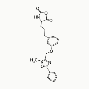 Cc1oc(-c2ccccc2)nc1COc1cccc(CCCC2NC(=O)OC2=O)c1